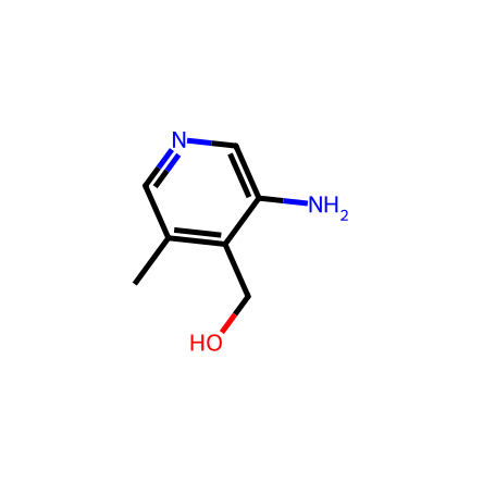 Cc1cncc(N)c1CO